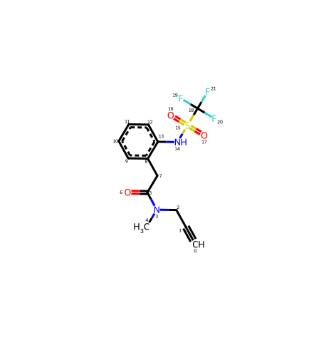 C#CCN(C)C(=O)Cc1ccccc1NS(=O)(=O)C(F)(F)F